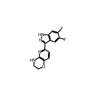 Fc1cc2[nH]nc(-c3ccc4c(n3)NCCO4)c2cc1F